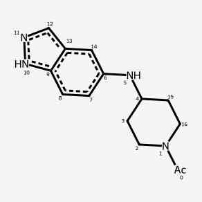 CC(=O)N1CCC(Nc2ccc3[nH]ncc3c2)CC1